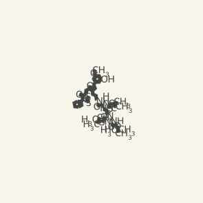 COc1cc(O)cc(-c2cc(CCCNC(=O)[C@H](CCCN=C(NC(=O)OC(C)(C)C)NC(=O)OC(C)(C)C)NC(=O)OC(C)(C)C)c(/C=C3\SC(=S)N(C4CC5CCC4C5)C3=O)o2)c1